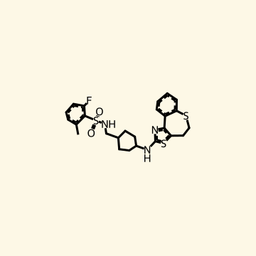 Cc1cccc(F)c1S(=O)(=O)NCC1CCC(Nc2nc3c(s2)CCSc2ccccc2-3)CC1